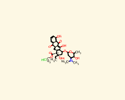 CC[C@]1(O)CC(OC2CC(N(C)C)C(O)C(C)O2)c2c(cc3c(c2O)C(=O)c2c(O)cccc2C3=O)[C@@H]1C(=O)OC.Cl